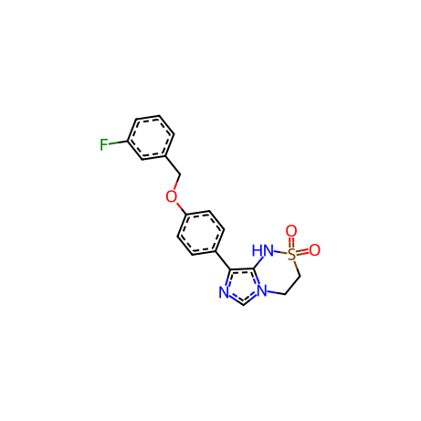 O=S1(=O)CCn2cnc(-c3ccc(OCc4cccc(F)c4)cc3)c2N1